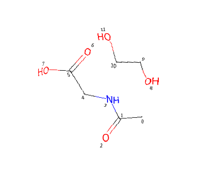 CC(=O)NCC(=O)O.OCCO